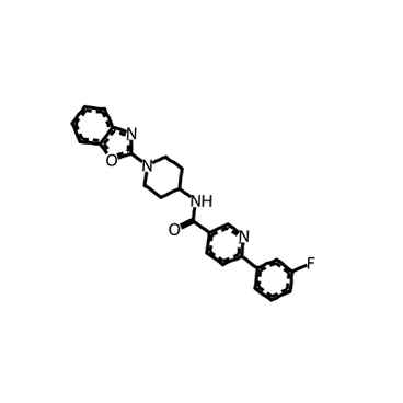 O=C(NC1CCN(c2nc3ccccc3o2)CC1)c1ccc(-c2cccc(F)c2)nc1